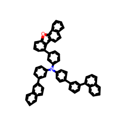 c1cc(-c2ccc(N(c3cccc(-c4ccc5ccccc5c4)c3)c3cccc(-c4cccc5oc6c7ccccc7ccc6c45)c3)cc2)cc(-c2cccc3ccccc23)c1